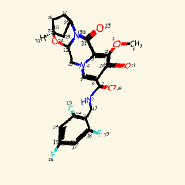 COc1c2n(cc(C(=O)NCc3c(F)cc(F)cc3F)c1=O)CC1O[C@H]3CCC(C3)N1C2=O